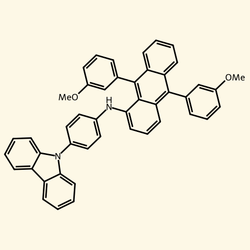 COc1cccc(-c2c3ccccc3c(-c3cccc(OC)c3)c3c(Nc4ccc(-n5c6ccccc6c6ccccc65)cc4)cccc23)c1